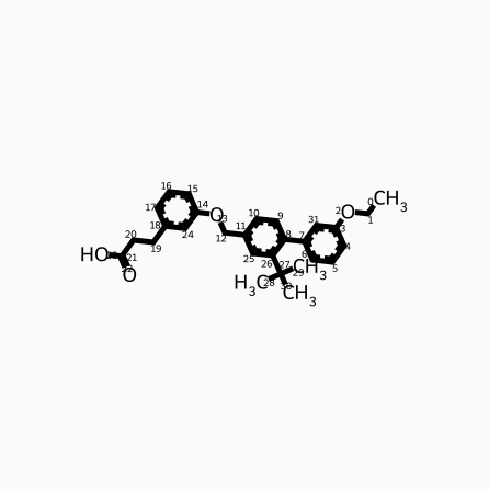 CCOc1cccc(-c2ccc(COc3cccc(CCC(=O)O)c3)cc2C(C)(C)C)c1